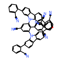 N#Cc1cc(C#N)cc(-c2c(-n3c4cc(-c5ccccc5C#N)ccc4c4ccc(-c5ccccc5C#N)cc43)cc(C#N)cc2-n2c3cc(-c4ccccc4C#N)ccc3c3ccc(-c4ccccc4C#N)cc32)c1